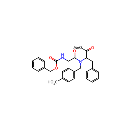 COC(=O)C(Cc1ccccc1)N(Cc1ccc(C(=O)O)cc1)C(=O)CNC(=O)OCc1ccccc1